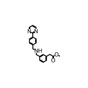 COC(=O)Cc1cccc(CNCc2ccc(-c3ncccn3)cc2)c1